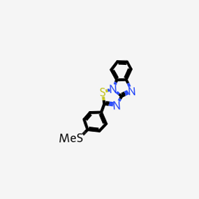 CSc1ccc(-c2nc3nc4ccccc4n3s2)cc1